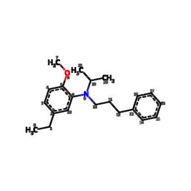 CCc1ccc(OC)c(N(CCCc2ccccc2)C(C)C)c1